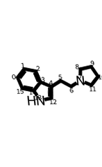 c1ccc2c(CCN3CCCC3)c[nH]c2c1